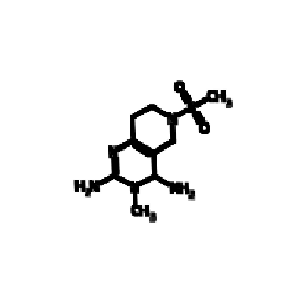 CN1C(N)=NC2=C(CN(S(C)(=O)=O)CC2)C1N